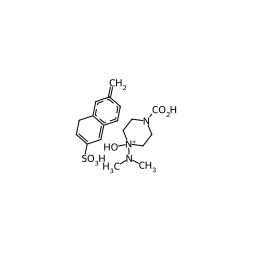 C=c1ccc2c(c1)CC=C(S(=O)(=O)O)C=2.CN(C)[N+]1(O)CCN(C(=O)O)CC1